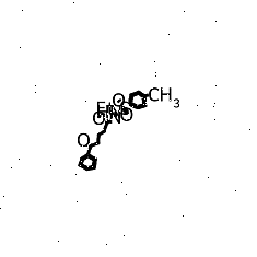 CCOC(CCCC(=O)c1ccccc1)=NNS(=O)(=O)c1ccc(C)cc1